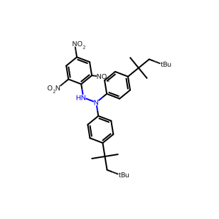 CC(C)(C)CC(C)(C)c1ccc(N(Nc2c([N+](=O)[O-])cc([N+](=O)[O-])cc2[N+](=O)[O-])c2ccc(C(C)(C)CC(C)(C)C)cc2)cc1